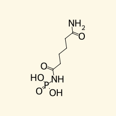 NC(=O)CCCCC(=O)NP(=O)(O)O